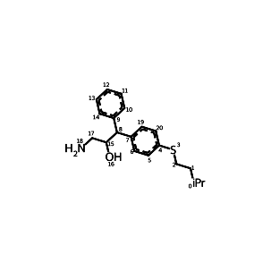 CC(C)CCSc1ccc(C(c2ccccc2)C(O)CN)cc1